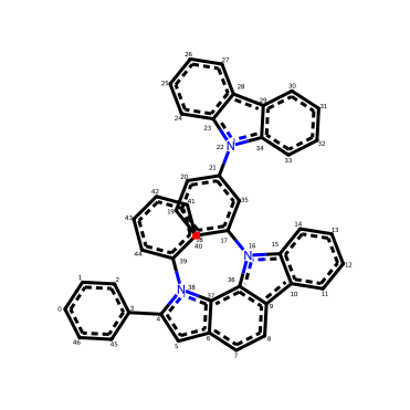 c1ccc(-c2cc3ccc4c5ccccc5n(-c5cccc(-n6c7ccccc7c7ccccc76)c5)c4c3n2-c2ccccc2)cc1